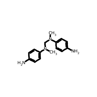 CN(CN(C)c1ccc(N)cc1)c1ccc(N)cc1